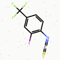 FC(F)(F)c1ccc(N=C=S)c(I)c1